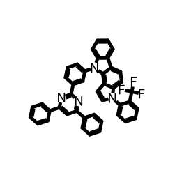 FC(F)(F)c1ccccc1-n1ccc2c1ccc1c3ccccc3n(-c3cccc(-c4nc(-c5ccccc5)cc(-c5ccccc5)n4)c3)c12